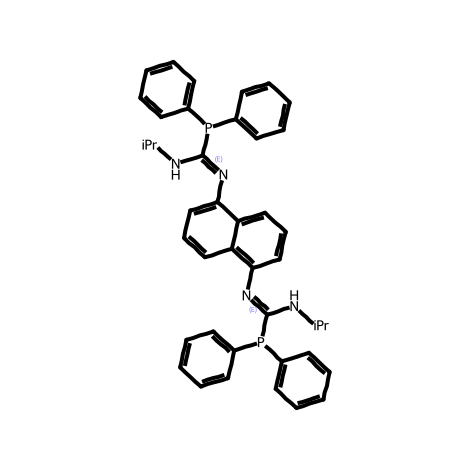 CC(C)N/C(=N\c1cccc2c(/N=C(\NC(C)C)P(c3ccccc3)c3ccccc3)cccc12)P(c1ccccc1)c1ccccc1